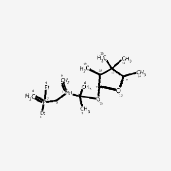 C=[PH](CP(=C)(CC)CC)C(C)(C)OC1OC(C)C(C)(C)C1C